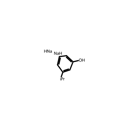 CC(C)c1cccc(O)c1.[NaH].[NaH]